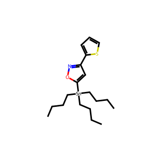 CCC[CH2][Sn]([CH2]CCC)([CH2]CCC)[c]1cc(-c2cccs2)no1